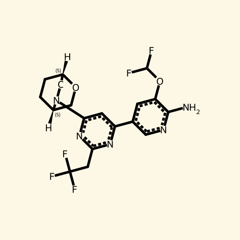 Nc1ncc(-c2cc(N3C[C@@H]4CC[C@H]3CO4)nc(CC(F)(F)F)n2)cc1OC(F)F